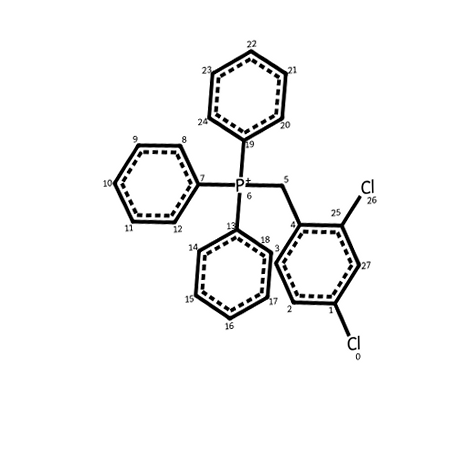 Clc1ccc(C[P+](c2ccccc2)(c2ccccc2)c2ccccc2)c(Cl)c1